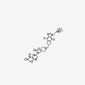 CNCCn1cnc2c(F)c3c(c(F)c21)CC(CN1CCC2(CC1)CN(c1cnc4c(n1)NC(=O)CO4)C(=O)O2)C3